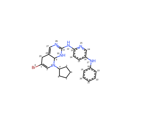 BrC1=CN(C2CCCC2)C2NC(Nc3ccc(Nc4ccccc4)cn3)=NC=C2C1